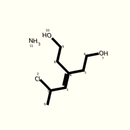 CC(Cl)C=C(CCO)CCO.N